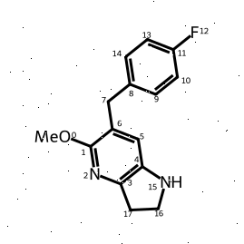 COc1nc2c(cc1Cc1ccc(F)cc1)NCC2